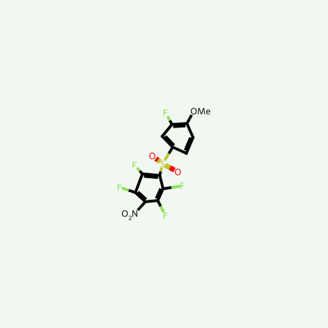 COc1ccc(S(=O)(=O)c2c(F)c(F)c([N+](=O)[O-])c(F)c2F)cc1F